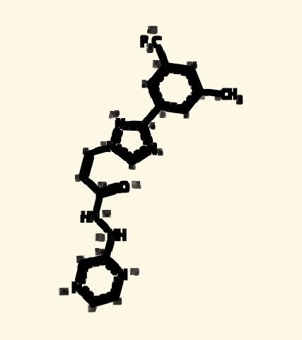 Cc1cc(-c2ncn(/C=C\C(=O)NNc3cnccn3)n2)cc(C(F)(F)F)c1